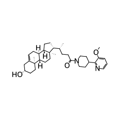 COc1cccnc1C1CCN(C(=O)CC[C@@H](C)[C@H]2CC[C@H]3[C@@H]4CC=C5C[C@@H](O)CC[C@]5(C)[C@H]4CC[C@]23C)CC1